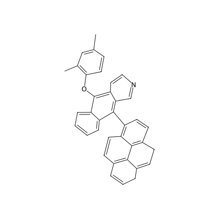 Cc1ccc(Oc2c3ccccc3c(-c3ccc4c5c6c(ccc35)C=CCC6=CC4)c3cnccc23)c(C)c1